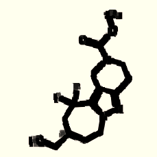 CC(C)(C)OC(=O)N1CCc2nn3c(c2C1)C(F)(F)C[C@H](CO)CC3